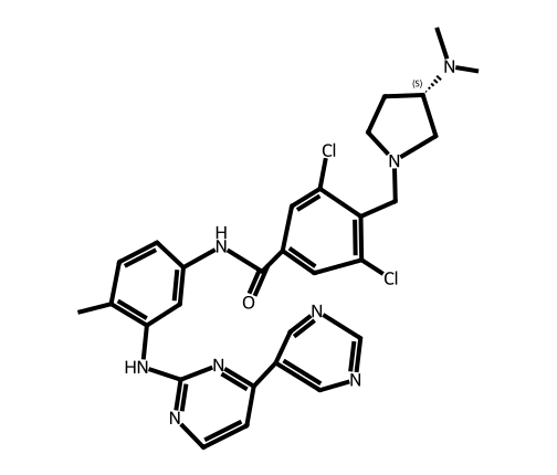 Cc1ccc(NC(=O)c2cc(Cl)c(CN3CC[C@H](N(C)C)C3)c(Cl)c2)cc1Nc1nccc(-c2cncnc2)n1